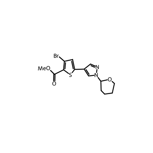 COC(=O)c1sc(-c2cnn(C3CCCCO3)c2)cc1Br